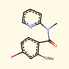 COc1cc(I)ccc1C(=O)N(C)c1ccccn1